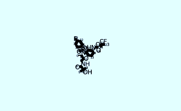 C[C@@H]1C(CNC(=O)C(C)(C)O)Oc2ccc(NC(=O)OC(C)(C)C(F)(F)F)cc2N1S(=O)(=O)c1ccc(F)cc1